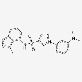 CN(C)c1ccnc(-n2cc(S(=O)(=O)Nc3cccc4cnn(C)c34)cn2)c1